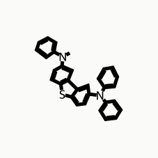 CN(c1ccccc1)c1ccc2sc3ccc(N(c4ccccc4)c4ccccc4)cc3c2c1